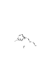 CCCCCn1cc[n+](C)c1.[I-]